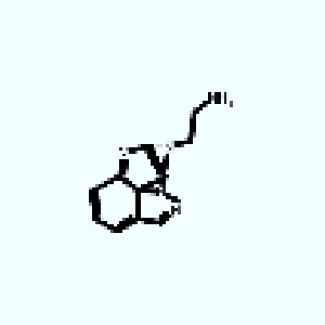 NCCNN1CN=CC2=CC=CC3=NC=CC231